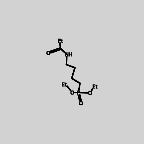 CCOP(=O)(CCCCNC(=O)CC)OCC